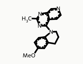 COc1ccc2c(c1)CCCN2c1nc(C)nc2cnccc12